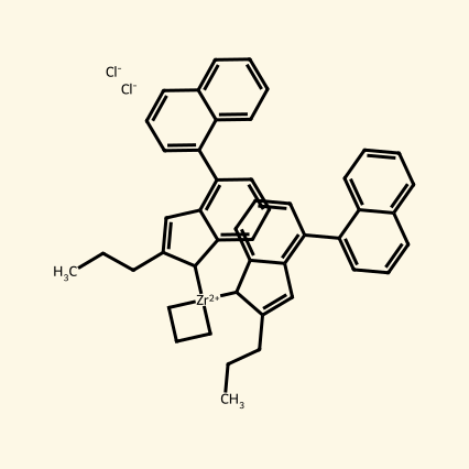 CCCC1=Cc2c(-c3cccc4ccccc34)cccc2[CH]1[Zr+2]1([CH]2C(CCC)=Cc3c(-c4cccc5ccccc45)cccc32)[CH2]C[CH2]1.[Cl-].[Cl-]